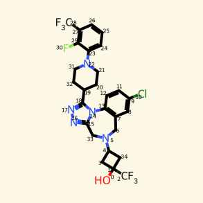 OC1(C(F)(F)F)CC(N2Cc3cc(Cl)ccc3-n3c(nnc3C3CCN(c4cccc(C(F)(F)F)c4F)CC3)C2)C1